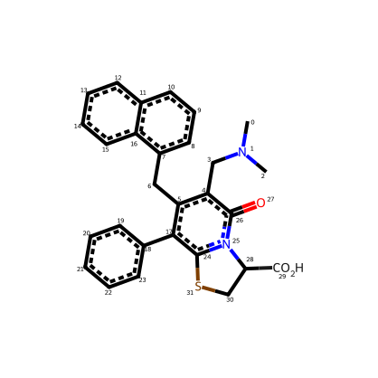 CN(C)Cc1c(Cc2cccc3ccccc23)c(-c2ccccc2)c2n(c1=O)C(C(=O)O)CS2